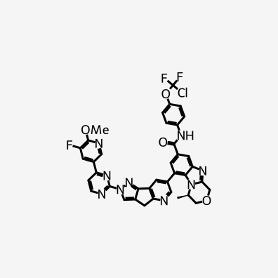 COc1ncc(-c2ccnc(-n3cc4c(n3)-c3cc(-c5cc(C(=O)Nc6ccc(OC(F)(F)Cl)cc6)cc6nc7n(c56)[C@H](C)COC7)cnc3C4)n2)cc1F